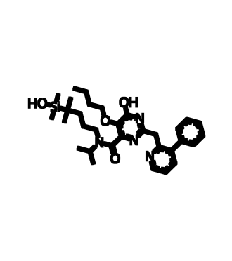 CCCCOc1c(O)nc(Cc2ncccc2-c2ccccc2)nc1C(=O)N(CCCC(C)(C)[Si](C)(C)O)C(C)C